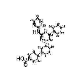 O=C(O)N1CC=C(c2cccc(-c3cc(-c4ccccc4)cc(Nc4cnccn4)n3)c2)CC1